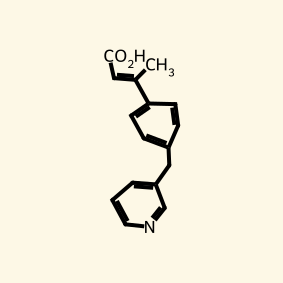 CC(=CC(=O)O)c1ccc(Cc2cccnc2)cc1